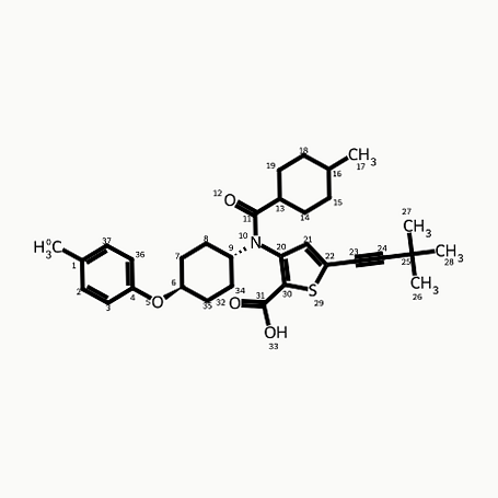 Cc1ccc(O[C@H]2CC[C@H](N(C(=O)C3CCC(C)CC3)c3cc(C#CC(C)(C)C)sc3C(=O)O)CC2)cc1